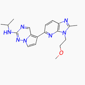 COCCn1c(C)nc2ccc(-c3ccn4nc(NC(C)C)ncc34)nc21